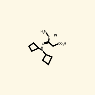 C1CC(NC2CCC2)C1.NOC(=O)CC(=O)O.[Pt]